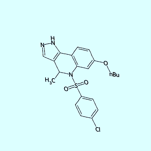 CCCCOc1ccc2c(c1)N(S(=O)(=O)c1ccc(Cl)cc1)C(C)c1cn[nH]c1-2